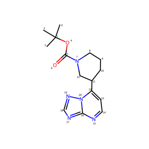 CC(C)(C)OC(=O)N1CCCC(c2ccnc3ncnn23)C1